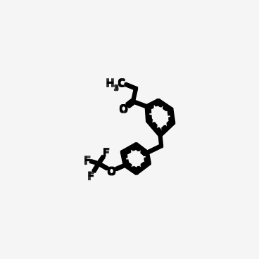 CCC(=O)c1cccc(Cc2ccc(OC(F)(F)F)cc2)c1